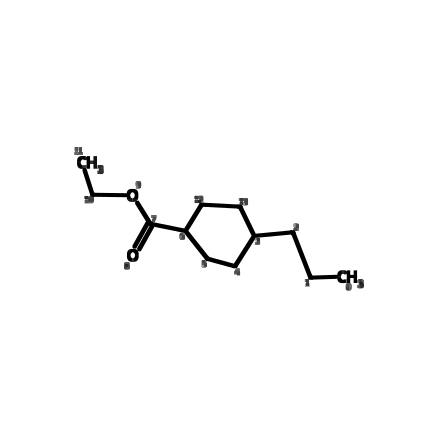 CCCC1CCC(C(=O)OCC)CC1